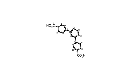 O=C(O)c1ccc(-c2cc(-c3ccc(C(=O)O)cc3)ncn2)cc1